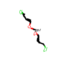 ClCC=COBOC=CCCl